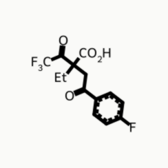 CCC(CC(=O)c1ccc(F)cc1)(C(=O)O)C(=O)C(F)(F)F